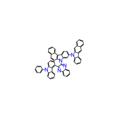 c1ccc(-n2c3ccccc3c3c(-c4nc5ccccc5nc4-n4c5cc(-n6c7ccccc7c7cc8ccccc8cc76)ccc5c5c6ccccc6ccc54)cccc32)cc1